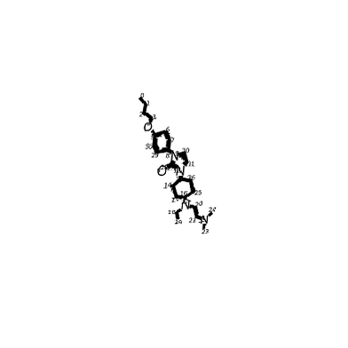 CCCCOc1ccc(-n2ccn(C3CCC(N(CC)CCN(C)C)CC3)c2=O)cc1